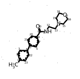 Cc1ccc(-c2ccc(C(=O)NCCN3CCOCC3)cc2)cc1